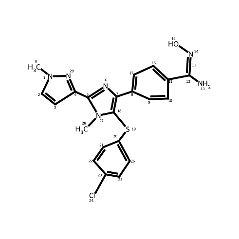 Cn1ccc(-c2nc(-c3ccc(/C(N)=N\O)cc3)c(Sc3ccc(Cl)cc3)n2C)n1